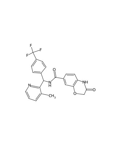 Cc1cccnc1C(NC(=O)c1ccc2c(c1)OCC(=O)N2)c1ccc(C(F)(F)F)cc1